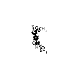 COC(=O)C1CC(c2ccc(N3C[C@H](CNC(C)=O)OC3=O)cc2)=CCN1C#N